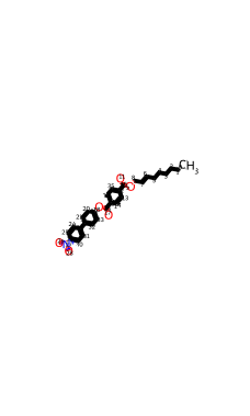 CCCCCCCCCOC(=O)c1ccc(C(=O)Oc2ccc(-c3ccc([N+](=O)[O-])cc3)cc2)cc1